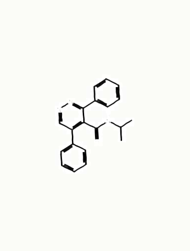 CC(C)NC(=O)c1c(-c2ccccc2)cnnc1-c1ccccc1